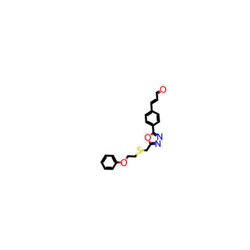 O=CC=Cc1ccc(-c2nnc(CSCCOc3ccccc3)o2)cc1